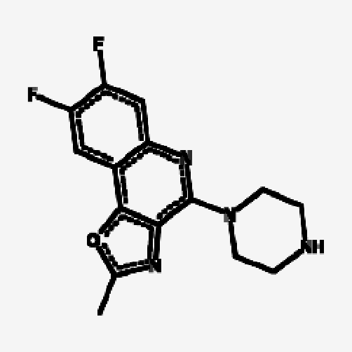 Cc1nc2c(N3CCNCC3)nc3cc(F)c(F)cc3c2o1